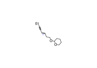 CCC#C/C=C/CCOC1CCCCO1